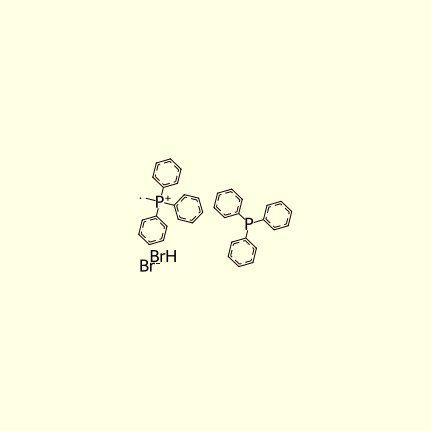 Br.[Br-].[CH2][P+](c1ccccc1)(c1ccccc1)c1ccccc1.c1ccc(P(c2ccccc2)c2ccccc2)cc1